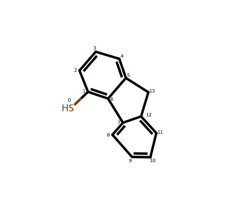 Sc1cccc2c1-c1ccccc1C2